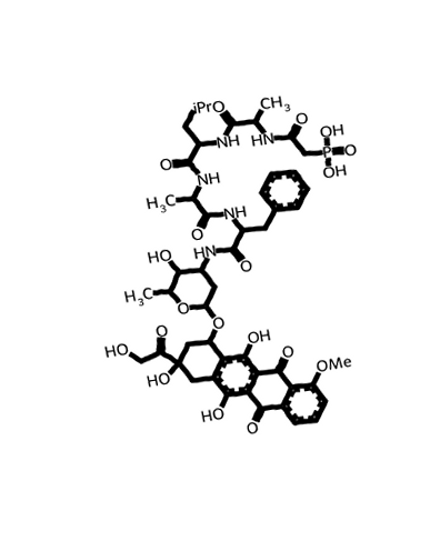 COc1cccc2c1C(=O)c1c(O)c3c(c(O)c1C2=O)CC(O)(C(=O)CO)CC3OC1CC(NC(=O)C(Cc2ccccc2)NC(=O)C(C)NC(=O)C(CC(C)C)NC(=O)C(C)NC(=O)CP(=O)(O)O)C(O)C(C)O1